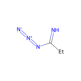 CCC(=N)N=[N+]=[N-]